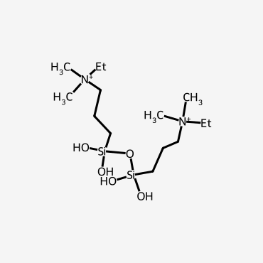 CC[N+](C)(C)CCC[Si](O)(O)O[Si](O)(O)CCC[N+](C)(C)CC